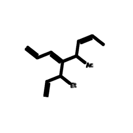 C=C/C=C(\C(C=C)CC)C(/C=C\C)C(C)=O